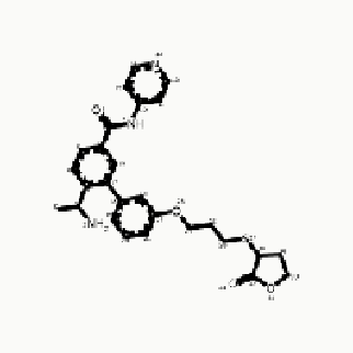 CC(N)c1ccc(C(=O)Nc2ccncc2)cc1-c1cccc(OCCCSC2CCOC2=O)c1